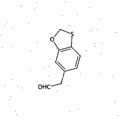 O=CCc1ccc2c(c1)OCS2